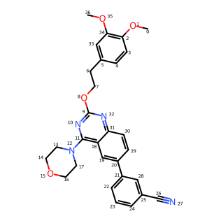 COc1ccc(CCOc2nc(N3CCOCC3)c3cc(-c4cccc(C#N)c4)ccc3n2)cc1OC